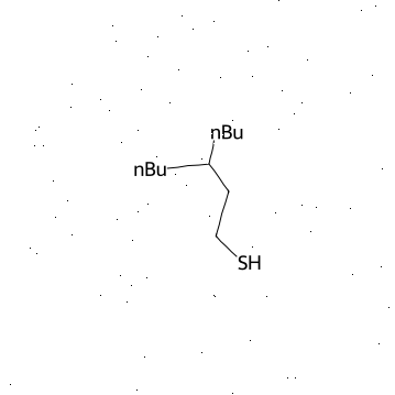 CCCCC(CCS)CCCC